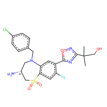 CC(C)(CO)c1noc(-c2cc3c(cc2F)S(=O)(=O)C[C@H](N)CN3Cc2ccc(Cl)cc2)n1